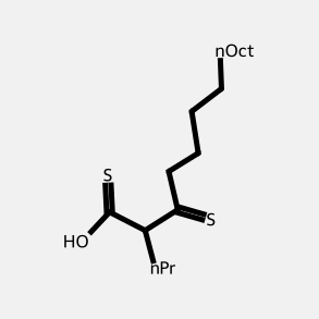 CCCCCCCCCCCCC(=S)C(CCC)C(O)=S